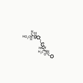 C[C@@H](NC(=O)O)c1nc2cc(CCc3ccc4nc([C@@H](C)NC(=O)OCc5ccccc5)[nH]c4c3)ccc2[nH]1